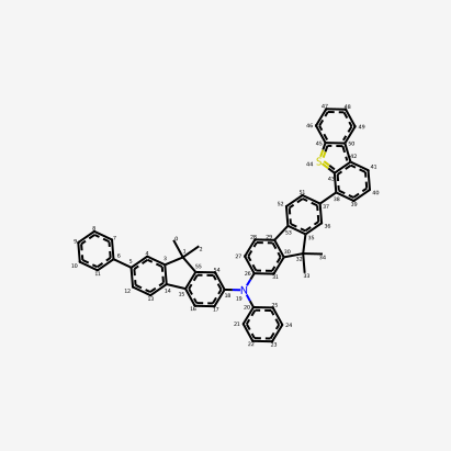 CC1(C)c2cc(-c3ccccc3)ccc2-c2ccc(N(c3ccccc3)c3ccc4c(c3)C(C)(C)c3cc(-c5cccc6c5sc5ccccc56)ccc3-4)cc21